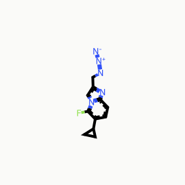 [N-]=[N+]=NCc1cn2c(F)c(C3CC3)ccc2n1